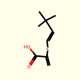 C=C(CC=CC(C)(C)C)C(=O)O